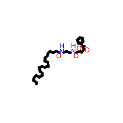 CC/C=C\C/C=C\C/C=C\C/C=C\C/C=C\C/C=C\CCC(=O)NCCCNC(=O)C1=CC(=O)C(C)(c2ccccc2)O1